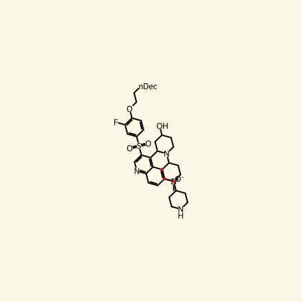 CCCCCCCCCCCCOc1ccc(S(=O)(=O)c2cnc3ccc([S+](C)[O-])cc3c2C2CC(O)CCN2C2CCN(C3CCNCC3)CC2)cc1F